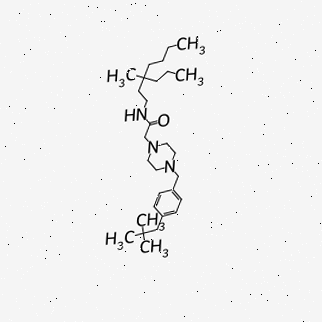 CCCCC(C)(CCC)CCNC(=O)CN1CCN(Cc2ccc(CC(C)(C)C)cc2)CC1